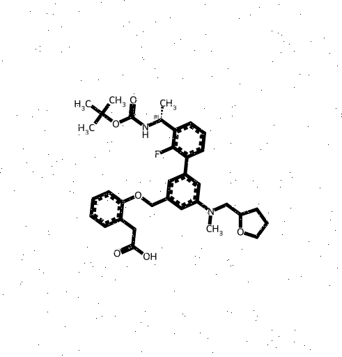 C[C@@H](NC(=O)OC(C)(C)C)c1cccc(-c2cc(COc3ccccc3CC(=O)O)cc(N(C)CC3CCCO3)c2)c1F